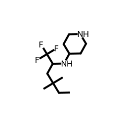 CCC(C)(C)CC(NC1CCNCC1)C(F)(F)F